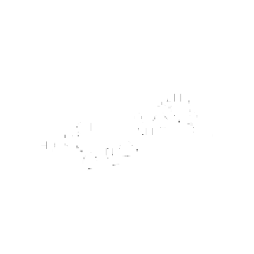 C[C@@H]1CN(c2cccc(-c3ccc4cnc(CNC(=O)c5ccc(N6C[C@@H](C)O[C@@H](C)C6)c(S(C)(=O)=O)c5)cc4n3)n2)C[C@H](C)O1